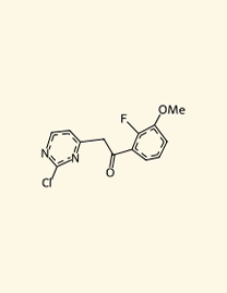 COc1cccc(C(=O)Cc2ccnc(Cl)n2)c1F